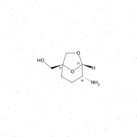 N[C@@H]1CC[C@]2(CO)CO[C@H]1O2